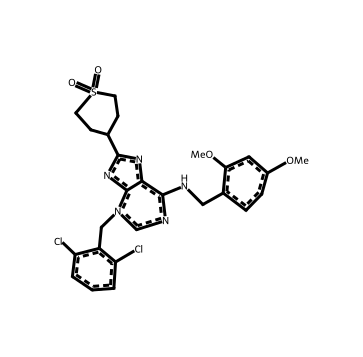 COc1ccc(CNc2ncn(Cc3c(Cl)cccc3Cl)c3nc(C4CCS(=O)(=O)CC4)nc2-3)c(OC)c1